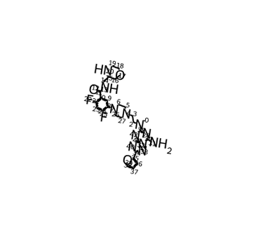 CN(CCN1CCN(c2cc(C(=O)NCC3COCCN3)c(F)cc2F)CC1)c1nc(N)n2nc(-c3ccco3)nc2n1